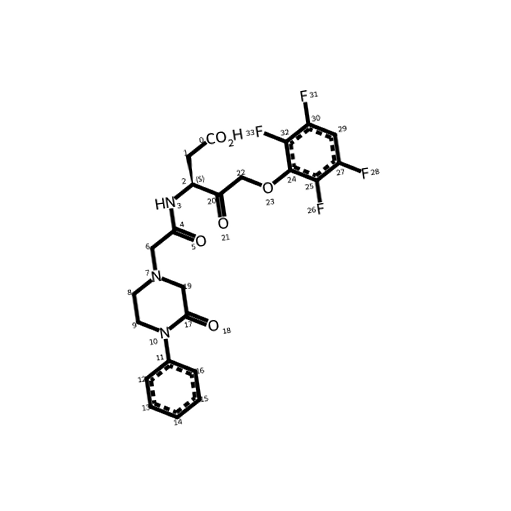 O=C(O)C[C@H](NC(=O)CN1CCN(c2ccccc2)C(=O)C1)C(=O)COc1c(F)c(F)cc(F)c1F